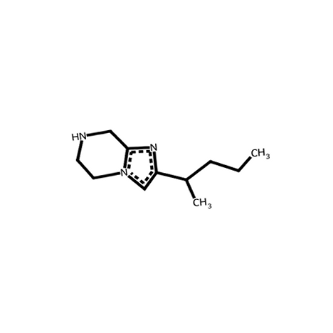 CCCC(C)c1cn2c(n1)CNCC2